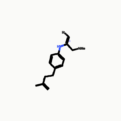 C=C(C)CCc1ccc(N/C(=C\CC)CNC)cc1